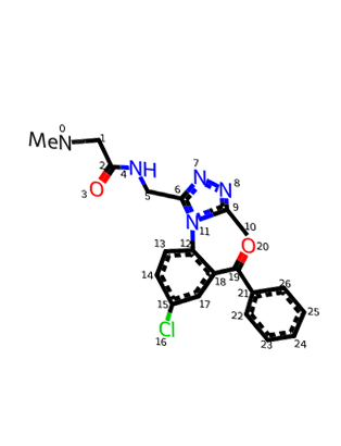 CNCC(=O)NCc1nnc(C)n1-c1ccc(Cl)cc1C(=O)c1ccccc1